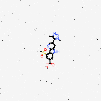 COC(=O)c1cc(S(C)(=O)=O)c2c(c1)[nH]c1cc(-c3c(C)nnn3C)cnc12